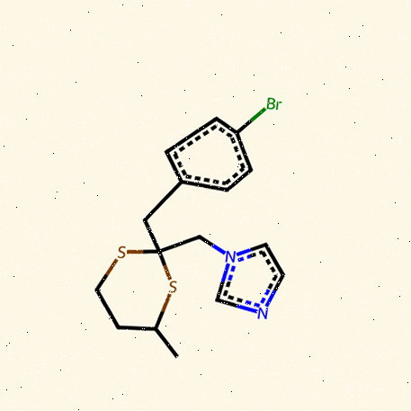 CC1CCSC(Cc2ccc(Br)cc2)(Cn2ccnc2)S1